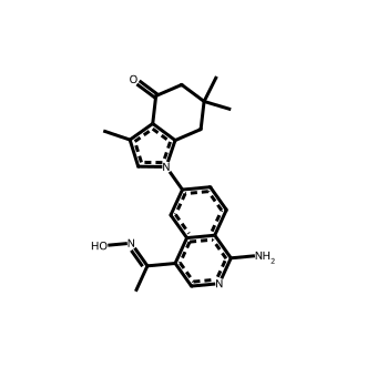 CC(=NO)c1cnc(N)c2ccc(-n3cc(C)c4c3CC(C)(C)CC4=O)cc12